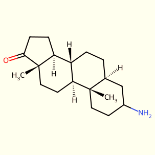 C[C@]12CCC(N)C[C@@H]1CC[C@@H]1[C@@H]2CC[C@]2(C)C(=O)CC[C@@H]12